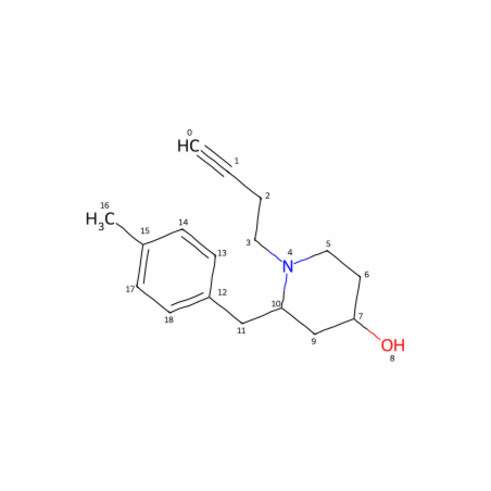 C#CCCN1CCC(O)CC1Cc1ccc(C)cc1